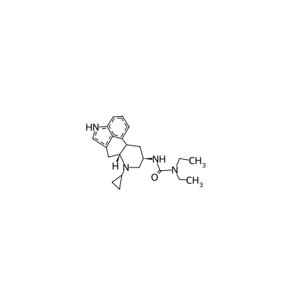 CCN(CC)C(=O)N[C@@H]1CC2c3cccc4[nH]cc(c34)C[C@H]2N(C2CC2)C1